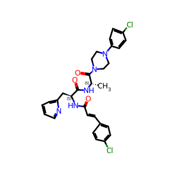 C[C@H](NC(=O)[C@H](Cc1ccccn1)NC(=O)C=Cc1ccc(Cl)cc1)C(=O)N1CCN(c2ccc(Cl)cc2)CC1